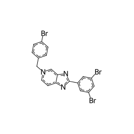 Brc1ccc(Cn2ccc3nc(-c4cc(Br)cc(Br)c4)nc-3c2)cc1